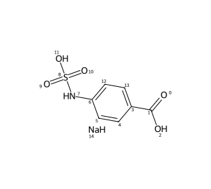 O=C(O)c1ccc(NS(=O)(=O)O)cc1.[NaH]